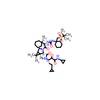 CC1([C@H](NC(=O)NC2(CS(=O)(=O)C(C)(C)C)CCCCC2)C(=O)N2CC3[C@@H]([C@H]2C(=O)N[C@@H](CCC2CC2)C(=O)C(=O)NC2CC2)C3(C)C)CCCCC1